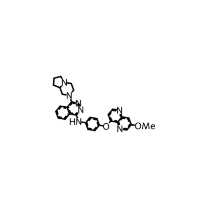 COc1cnc2c(Oc3ccc(Nc4nnc(N5CCN6CCCC6C5)c5ccccc45)cc3)ccnc2c1